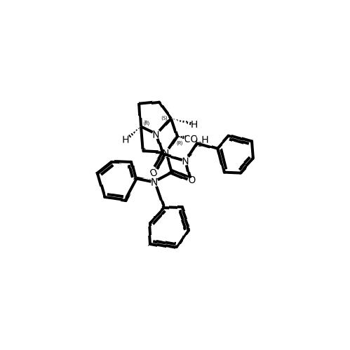 CN(Cc1ccccc1)C(=O)N1[C@@H]2CC[C@H]1[C@H](C(=O)O)N(C(=O)N(c1ccccc1)c1ccccc1)C2